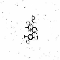 COC[C@@H](C)n1c(=O)c(C)nc2c(-c3cc(F)c(OC)cc3Cl)nccc21